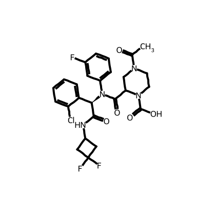 CC(=O)N1CCN(C(=O)O)C(C(=O)N(c2cccc(F)c2)[C@@H](C(=O)NC2CC(F)(F)C2)c2ccccc2Cl)C1